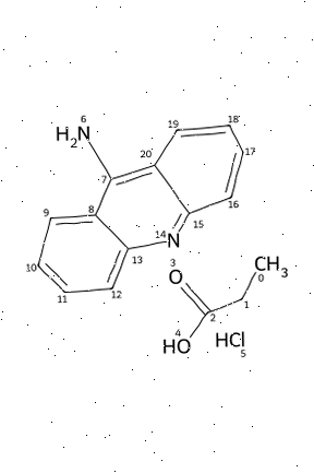 CCC(=O)O.Cl.Nc1c2ccccc2nc2ccccc12